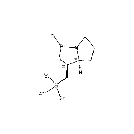 CC[Si](CC)(CC)C[C@H]1OP(Cl)N2CCC[C@@H]12